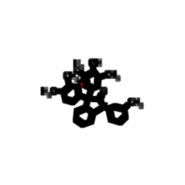 Cc1cccc(N2C(=O)C(c3cc(C)c(O)c(C)c3)(c3ccc(C)c(C)c3O)c3ccccc32)c1